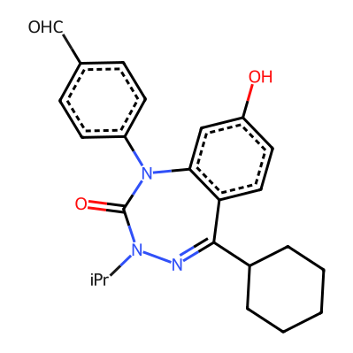 CC(C)N1N=C(C2CCCCC2)c2ccc(O)cc2N(c2ccc(C=O)cc2)C1=O